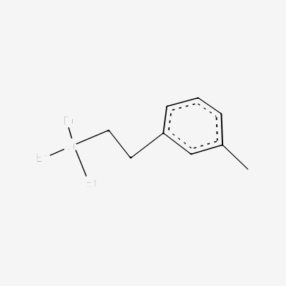 CC[Si](CC)(CC)CCc1cccc(C)c1